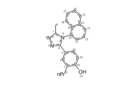 CCCc1cc(-c2nnc(C)n2-c2cccc3ccccc23)ccc1O